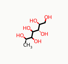 C[C@@H](O)C(O)C(O)[C@@H](O)[C@@H](O)CO